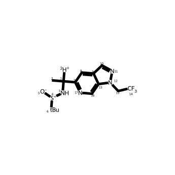 [2H]C(C)(N[S+]([O-])C(C)(C)C)c1cc2cnn(CC(F)(F)F)c2cn1